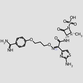 C[C@@H]1[C@H](NC(=O)/C(=N\OCCCOc2ccc(C(=N)N)cc2)c2csc(N)n2)C(=O)N1S(=O)(=O)O